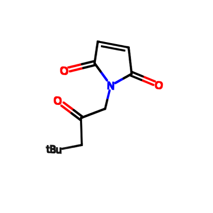 CC(C)(C)CC(=O)CN1C(=O)C=CC1=O